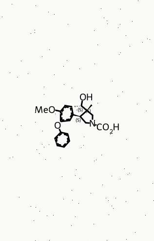 COc1ccc([C@@H]2CN(C(=O)O)C[C@@]2(C)[C@H](C)O)cc1Oc1ccccc1